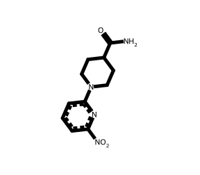 NC(=O)C1CCN(c2cccc([N+](=O)[O-])n2)CC1